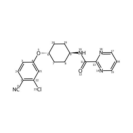 N#Cc1ccc(O[C@H]2CC[C@H](NC(=O)c3ncccn3)CC2)cc1Cl